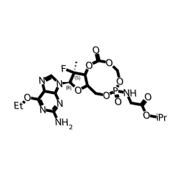 CCOC1=NC(N)=NC2C1N=CN2[C@@H]1OC2COP(=O)(NCC(=O)OC(C)C)OCOC(=O)OC2[C@]1(C)F